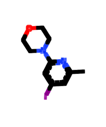 Cc1cc(I)cc(N2CCOCC2)n1